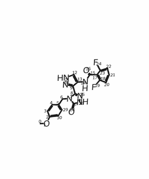 COc1ccc(Cn2c(-c3n[nH]cc3NC(=O)c3c(F)cccc3F)n[nH]c2=O)cc1